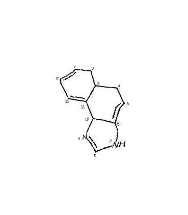 C1=CCC2CC=C3NC=NC3C2=C1